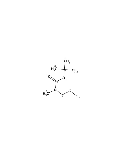 CN(CCI)C(=O)OC(C)(C)C